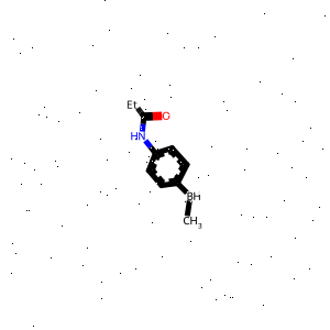 CBc1ccc(NC(=O)CC)cc1